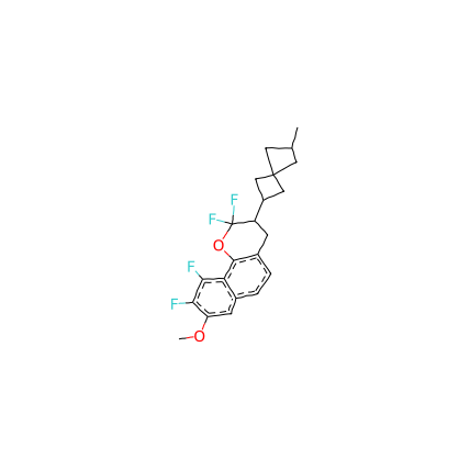 COc1cc2ccc3c(c2c(F)c1F)OC(F)(F)C(C1CC2(CC(C)C2)C1)C3